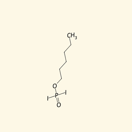 CCCCCCOP(=O)(I)I